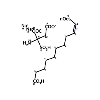 CCCCCCCC/C=C\CCCCCCCC(=O)O.NC(CC(=O)[O-])(C(=O)[O-])S(=O)(=O)O.[Na+].[Na+]